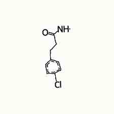 [NH]C(=O)CCc1ccc(Cl)cc1